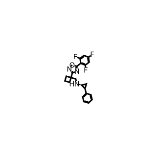 Fc1cc(F)c(-c2nc(C3(CN[C@H]4CC4c4ccccc4)CCC3)no2)c(F)c1